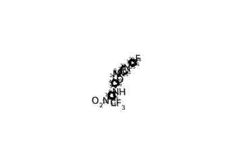 CN(C[C@H]1CC[C@H](Nc2ccc([N+](=O)[O-])c(C(F)(F)F)c2)CC1)C(=O)N1CCN(c2ccc(F)cc2)CC1